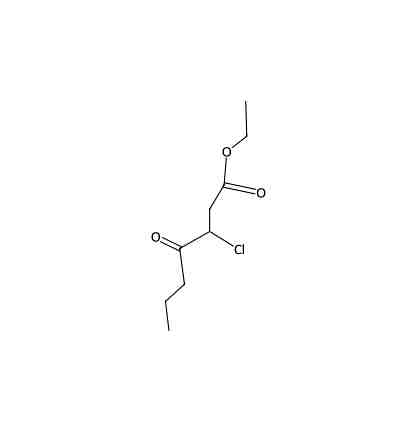 CCCC(=O)C(Cl)CC(=O)OCC